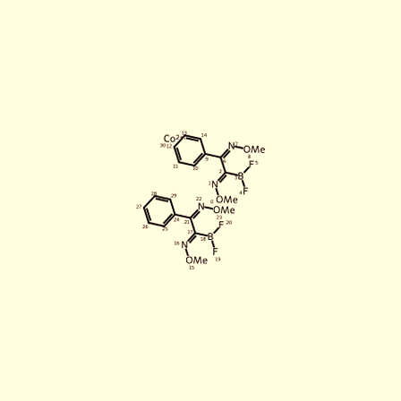 CON=C(B(F)F)C(=NOC)c1ccccc1.CON=C(B(F)F)C(=NOC)c1ccccc1.[Co+2]